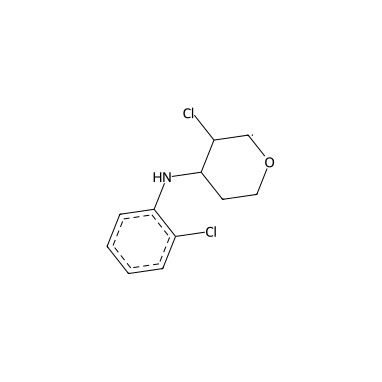 Clc1ccccc1NC1CCO[CH]C1Cl